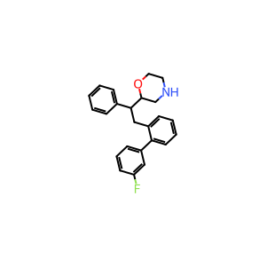 Fc1cccc(-c2ccccc2CC(c2ccccc2)C2CNCCO2)c1